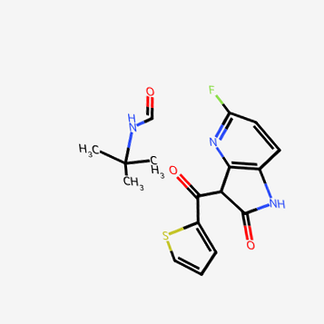 CC(C)(C)NC=O.O=C1Nc2ccc(F)nc2C1C(=O)c1cccs1